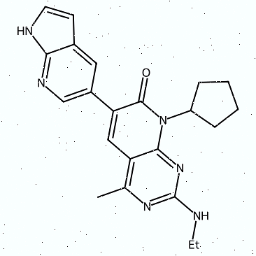 CCNc1nc(C)c2cc(-c3cnc4[nH]ccc4c3)c(=O)n(C3CCCC3)c2n1